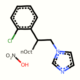 CCCCCCCCC(Cn1ccnc1)c1ccccc1Cl.O=[N+]([O-])O